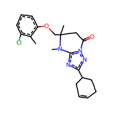 Cc1c(Cl)cccc1OCC1(C)CC(=O)n2nc(C3CC=CCC3)nc2N1C